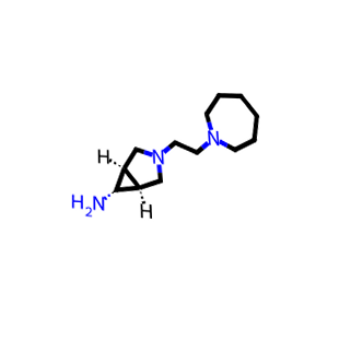 N[C@@H]1[C@H]2CN(CCN3CCCCCC3)C[C@@H]12